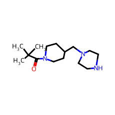 CC(C)(C)C(=O)N1CCC(CN2CCNCC2)CC1